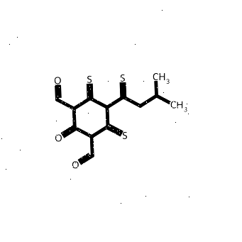 CC(C)CC(=S)C1C(=S)C(C=O)C(=O)C(C=O)C1=S